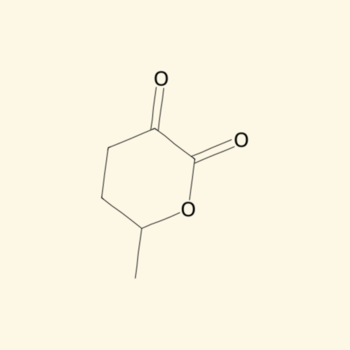 CC1CCC(=O)C(=O)O1